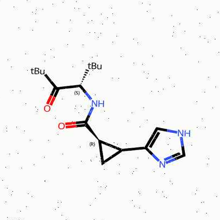 CC(C)(C)C(=O)[C@@H](NC(=O)[C@@H]1CC1c1c[nH]cn1)C(C)(C)C